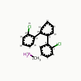 CP.Clc1ccccc1-c1ccccc1-c1ccccc1Cl